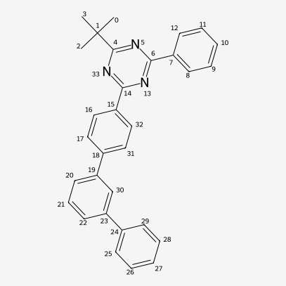 CC(C)(C)c1nc(-c2ccccc2)nc(-c2ccc(-c3cccc(-c4ccccc4)c3)cc2)n1